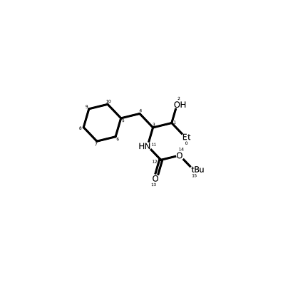 CCC(O)C(CC1CCCCC1)NC(=O)OC(C)(C)C